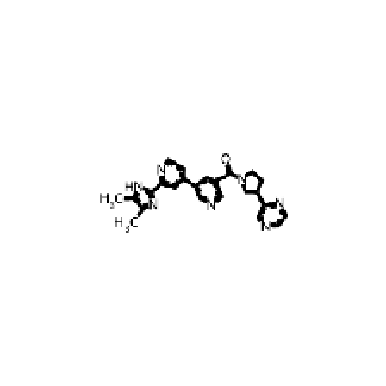 Cc1nc(-c2cc(-c3cncc(C(=O)N4CCC(c5cnccn5)C4)c3)ccn2)[nH]c1C